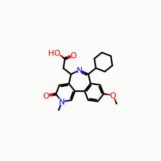 COc1ccc2c(c1)C(C1CCCCC1)=NC(CC(=O)O)c1cc(=O)n(C)cc1-2